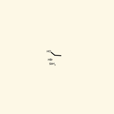 Br.CCO.[SbH3]